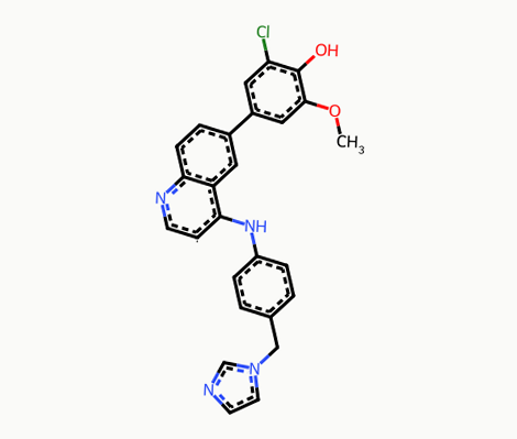 COc1cc(-c2ccc3nc[c]c(Nc4ccc(Cn5ccnc5)cc4)c3c2)cc(Cl)c1O